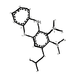 CC(C)Cc1cc2c(c(N(C)C)c1N(C)C)Nc1ccccc1S2